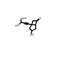 CCCCCC(O)C#CC12CC(=O)C1CC(O)C2